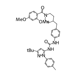 COc1ccc(C(=O)N2CCC(Cc3ccc(NC(=O)Nc4cc(C(C)(C)C)nn4-c4ccc(C)cc4)cc3)CC2)c(OC)c1